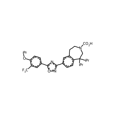 CC(C)Oc1ccc(-c2nc(-c3ccc4c(c3)CCN(C(=O)O)CC4(C(C)C)C(C)C)no2)cc1C(F)(F)F